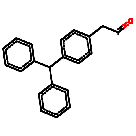 O=[C]Cc1ccc(C(c2ccccc2)c2ccccc2)cc1